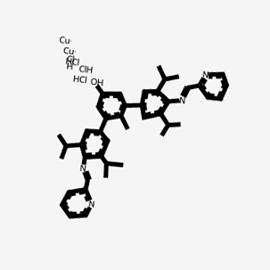 Cc1c(-c2cc(C(C)C)c(N=Cc3ccccn3)c(C(C)C)c2)cc(O)cc1-c1cc(C(C)C)c(N=Cc2ccccn2)c(C(C)C)c1.Cl.Cl.Cl.Cl.[Cu].[Cu]